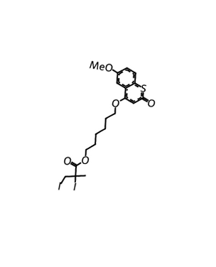 COc1ccc2sc(=O)cc(OCCCCCCOC(=O)C(C)(I)CI)c2c1